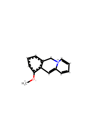 COc1cccc2c1C=C1C=CC=CN1C2